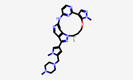 C[C@H]1CCOc2c(cnn2C)-c2nccc(n2)Nc2cc3c(cn2)c(-c2cc(CN4CCN(C)CC4)n(C)c2)nn31